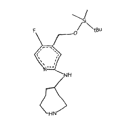 CC(C)(C)[Si](C)(C)OCc1cc(NC2CCCNC2)ncc1F